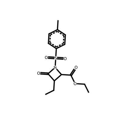 CCOC(=O)C1C(CC)C(=O)N1S(=O)(=O)c1ccc(C)cc1